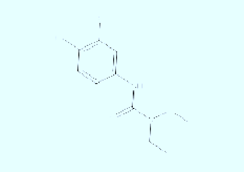 CON(CI)C(=O)Nc1ccc(Cl)c(Cl)c1